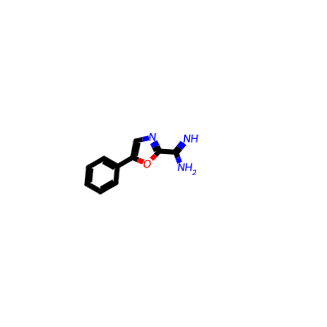 N=C(N)c1ncc(-c2ccccc2)o1